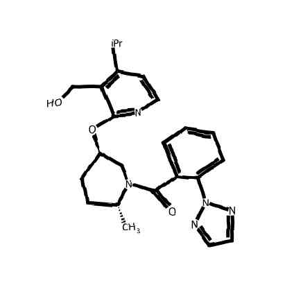 CC(C)c1ccnc(O[C@@H]2CC[C@@H](C)N(C(=O)c3ccccc3-n3nccn3)C2)c1CO